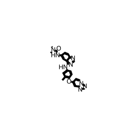 Cc1cc(Nc2ncnc3ccc(NC(=O)N(C)C)cc23)ccc1Oc1ccn2ncnc2c1